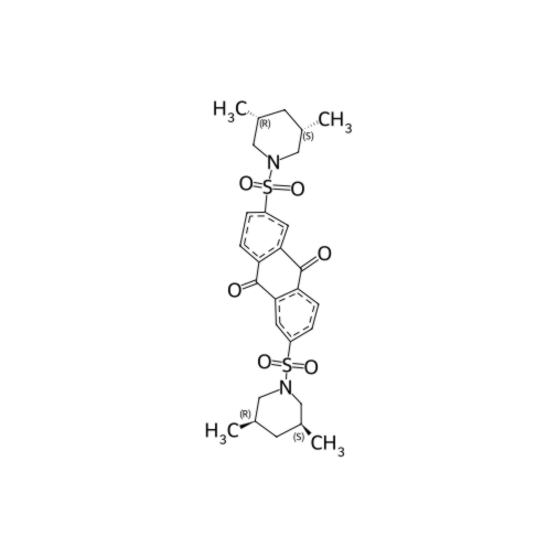 C[C@@H]1C[C@H](C)CN(S(=O)(=O)c2ccc3c(c2)C(=O)c2ccc(S(=O)(=O)N4C[C@H](C)C[C@H](C)C4)cc2C3=O)C1